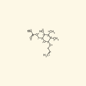 C=CCOC1OC(COC(=O)C(C)(C)C)C(O)C(C)C1C